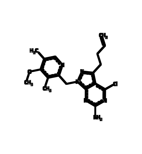 C=CCCc1nn(Cc2ncc(C)c(OC)c2C)c2nc(N)nc(Cl)c12